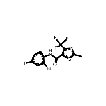 Cc1nc(C(F)(F)F)c(C(=O)Nc2ccc(F)cc2Br)s1